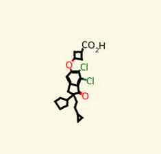 O=C(O)C1CC(Oc2cc3c(c(Cl)c2Cl)C(=O)C(CCC2CC2)(C2CCCC2)C3)C1